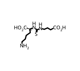 NCCCC[C@H](NC(=S)NCCCC(=O)O)C(=O)O